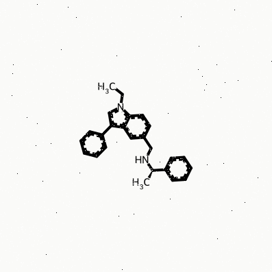 CCn1cc(-c2ccccc2)c2cc(CN[C@H](C)c3ccccc3)ccc21